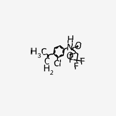 C=C(C)c1ccc(NS(=O)(=O)CC(F)(F)F)cc1Cl